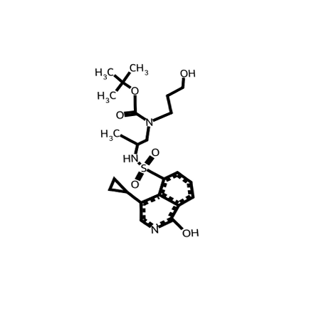 CC(CN(CCCO)C(=O)OC(C)(C)C)NS(=O)(=O)c1cccc2c(O)ncc(C3CC3)c12